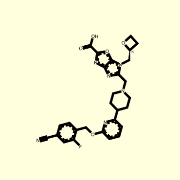 N#Cc1ccc(COc2cccc(C3CCN(Cc4nc5nc(C(=O)O)oc5n4C[C@@H]4CCO4)CC3)n2)c(F)c1